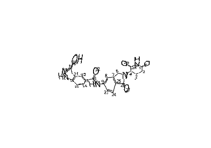 O=C1CCC(N2Cc3cc(NC(=O)c4ccc5[nH]nc(O)c5c4)ccc3C2=O)C(=O)N1